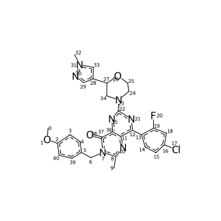 COc1ccc(Cn2c(C)nc3c(-c4ccc(Cl)cc4F)nc(N4CCOC(c5cnn(C)c5)C4)nc3c2=O)cc1